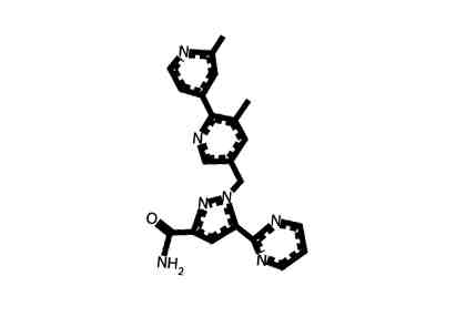 Cc1cc(-c2ncc(Cn3nc(C(N)=O)cc3-c3ncccn3)cc2C)ccn1